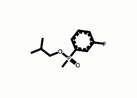 CC(C)COP(C)(=O)c1cccc(F)c1